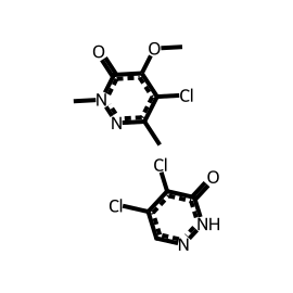 COc1c(Cl)c(C)nn(C)c1=O.O=c1[nH]ncc(Cl)c1Cl